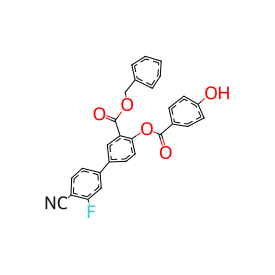 N#Cc1ccc(-c2ccc(OC(=O)c3ccc(O)cc3)c(C(=O)OCc3ccccc3)c2)cc1F